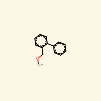 CCCOCc1ccccc1-c1ccccc1